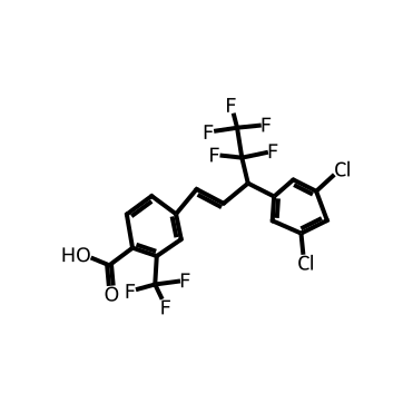 O=C(O)c1ccc(C=CC(c2cc(Cl)cc(Cl)c2)C(F)(F)C(F)(F)F)cc1C(F)(F)F